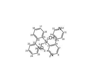 C[Si](C)(c1cnccc1-c1ccncc1)c1ccccc1-c1ccccn1